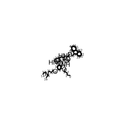 CCCCOc1cc(OCCCN(CC)CC)ccc1NNC(=O)C(CC1CCNCC1)NC(=O)OCC1c2ccccc2-c2ccccc21